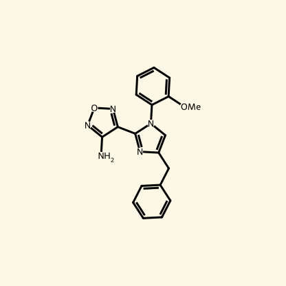 COc1ccccc1-n1cc(Cc2ccccc2)nc1-c1nonc1N